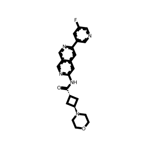 O=C(Nc1cc2cc(-c3cncc(F)c3)ncc2cn1)[C@H]1C[C@H](N2CCOCC2)C1